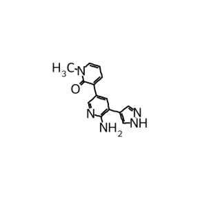 Cn1cccc(-c2cnc(N)c(-c3cn[nH]c3)c2)c1=O